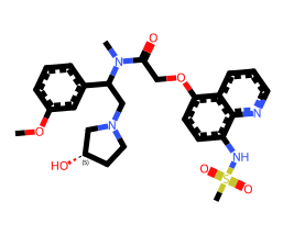 COc1cccc(C(CN2CC[C@H](O)C2)N(C)C(=O)COc2ccc(NS(C)(=O)=O)c3ncccc23)c1